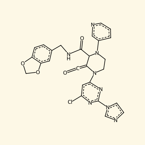 O=C=C1C(C(=O)NCc2ccc3c(c2)OCO3)N(c2cccnc2)CCN1c1cc(Cl)nc(-n2ccnc2)n1